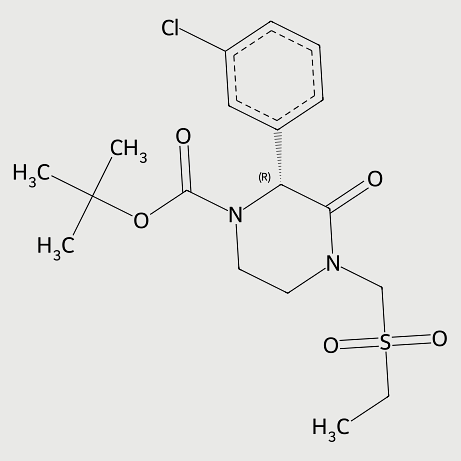 CCS(=O)(=O)CN1CCN(C(=O)OC(C)(C)C)[C@H](c2cccc(Cl)c2)C1=O